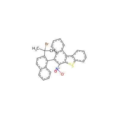 CC(C)(Br)c1ccc2ccccc2c1-c1c([N+](=O)[O-])c2sc3ccccc3c2c2ccccc12